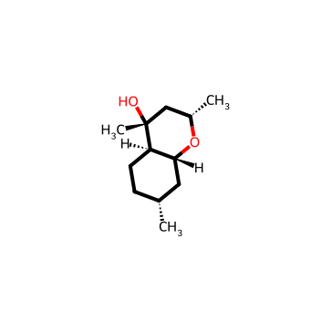 C[C@@H]1CC[C@@H]2[C@@H](C1)O[C@@H](C)C[C@@]2(C)O